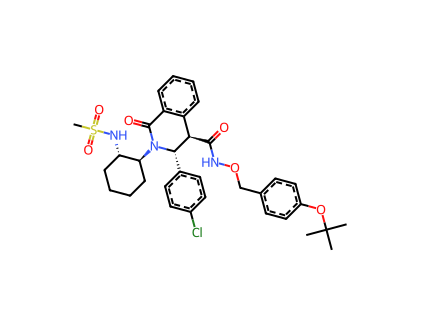 CC(C)(C)Oc1ccc(CONC(=O)[C@@H]2c3ccccc3C(=O)N([C@H]3CCCC[C@@H]3NS(C)(=O)=O)[C@H]2c2ccc(Cl)cc2)cc1